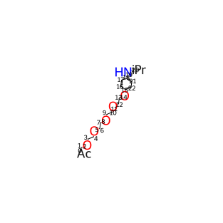 CC(=O)COCCOCCOCCOCCOc1ccc(NC(C)C)cc1